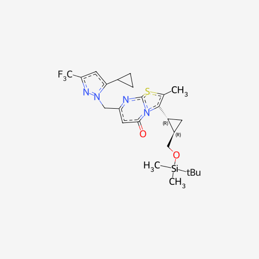 Cc1sc2nc(Cn3nc(C(F)(F)F)cc3C3CC3)cc(=O)n2c1[C@@H]1C[C@H]1CO[Si](C)(C)C(C)(C)C